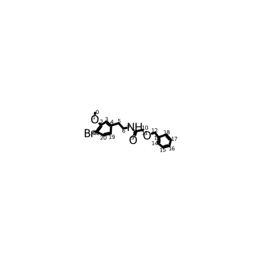 COc1cc(CCNC(=O)COCc2ccccc2)ccc1Br